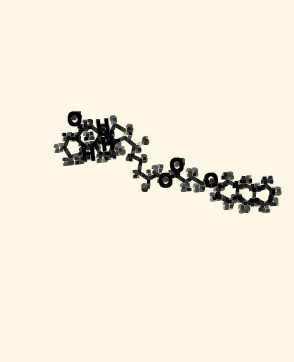 CC(CCC[C@@H](C)[C@H]1CC[C@H]2[C@@H]3CC(=O)C4CCCC[C@]4(C)[C@H]3CC[C@]12C)COC(=O)CCCOc1ccc2cc3ccccc3cc2c1